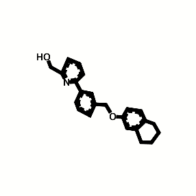 OCc1cccc(-c2cccc(COc3ccc4c(c3)CCCC4)c2)n1